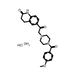 COc1ccc(C(=O)N2CCN(CC(=O)c3ccc4c(c3)CCC(=O)N4)CC2)cc1.Cl.O